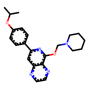 CC(C)Oc1ccc(-c2cc3nccnc3c(OCN3CCCCC3)n2)cc1